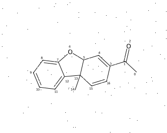 CC(=O)C1=CC2Oc3ccccc3C2(C)C=C1